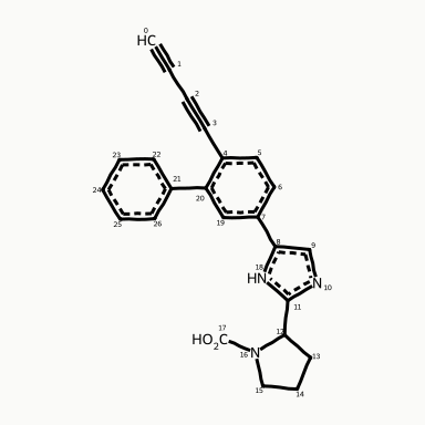 C#CC#Cc1ccc(-c2cnc(C3CCCN3C(=O)O)[nH]2)cc1-c1ccccc1